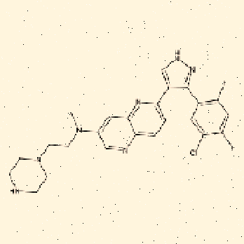 CN(CCN1CCNCC1)c1cnc2ccc(-c3c[nH]nc3-c3cc(Cl)c(F)cc3F)nc2c1